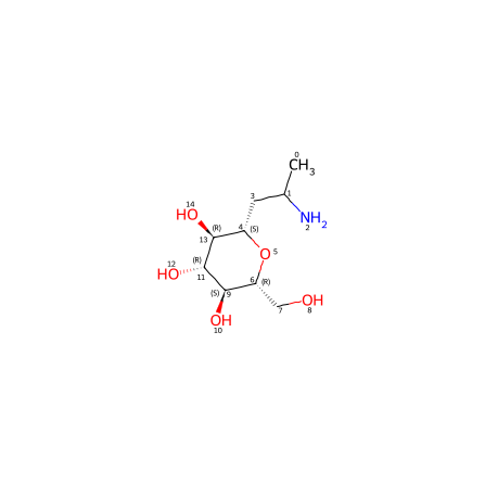 CC(N)C[C@@H]1O[C@H](CO)[C@@H](O)[C@H](O)[C@H]1O